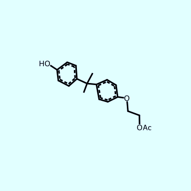 CC(=O)OCCOc1ccc(C(C)(C)c2ccc(O)cc2)cc1